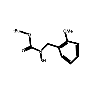 COc1[c]cccc1CN(S)C(=O)OC(C)(C)C